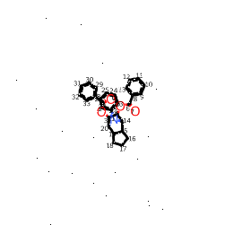 O=C(OC1C(OC(=O)c2ccccc2)C2C3CCCC3C1N2c1ccccc1)c1ccccc1